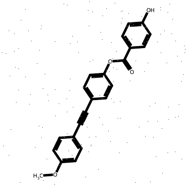 COc1ccc(C#Cc2ccc(OC(=O)c3ccc(O)cc3)cc2)cc1